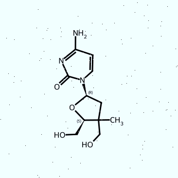 CC1(CO)C[C@H](n2ccc(N)nc2=O)O[C@@H]1CO